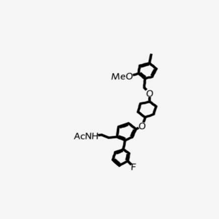 COc1cc(C)ccc1COC1CCC(Oc2ccc(CCNC(C)=O)c(-c3cccc(F)c3)c2)CC1